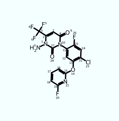 Nn1c(C(F)(F)F)cc(=O)n(-c2cc(Oc3cccc(F)n3)c(Cl)cc2F)c1=O